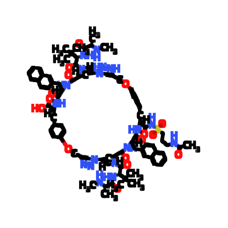 CN[C@@H](C)C(=O)N[C@H](C(=O)N1C[C@@H]2C[C@H]1C(=O)N[C@@H](Cc1ccc3ccccc3c1)C(=O)N[C@H](C(=O)O)Cc1ccc(cc1)OCc1cn(nn1)[C@H]1C[C@@H](C(=O)N[C@@H](Cc3ccc4ccccc4c3)C(=O)N[C@H](C(=O)NS(=O)(=O)CCCNC(C)=O)Cc3ccc(cc3)OCC3=CN2NN3)N(C(=O)[C@@H](NC(=O)[C@H](C)NC)C(C)(C)C)C1)C(C)(C)C